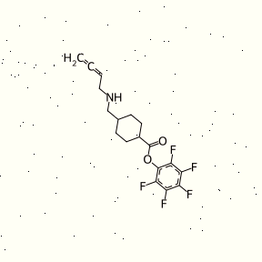 C=C=CCNCC1CCC(C(=O)Oc2c(F)c(F)c(F)c(F)c2F)CC1